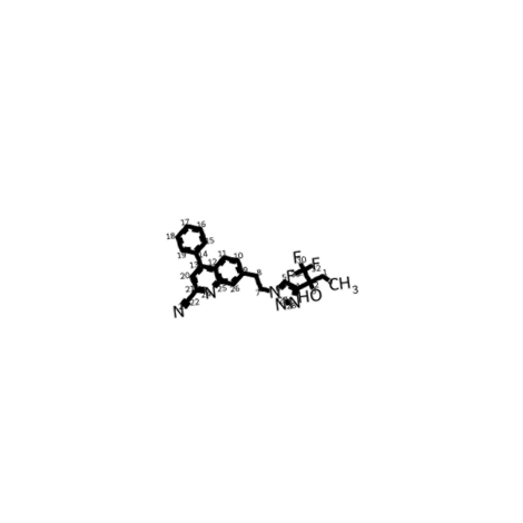 CCC(O)(c1cn(CCc2ccc3c(-c4ccccc4)cc(C#N)nc3c2)nn1)C(F)(F)F